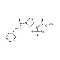 [2H]C([2H])([2H])N(C(=O)OC(C)(C)C)[C@H]1CCN(C(=O)OCc2ccccc2)C1